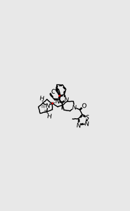 Cc1nnsc1C(=O)N1CCC(CCN2[C@@H]3CC[C@H]2C[C@H](n2c(C)nc4ccccc42)C3)(c2ccccc2)CC1